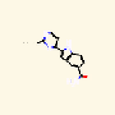 CNc1nccc(-c2cc3cc(C(N)=O)ccc3[nH]2)n1